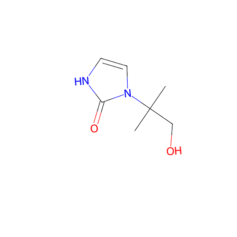 CC(C)(CO)n1cc[nH]c1=O